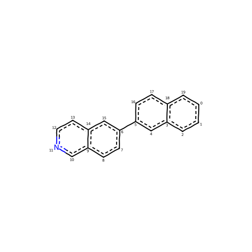 c1ccc2cc(-c3ccc4cnccc4c3)ccc2c1